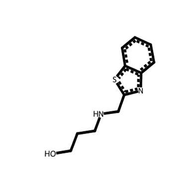 OCCCNCc1nc2ccccc2s1